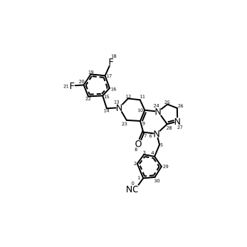 N#Cc1ccc(CN2C(=O)C3=C(CCN(Cc4cc(F)cc(F)c4)C3)N3CCN=C23)cc1